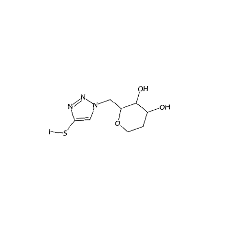 OC1CCOC(Cn2cc(SI)nn2)C1O